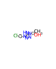 C[C@H]1C[C@@H](n2cnc3c(NCc4ccc(Cl)cc4)ncnc32)C[C@H]1O